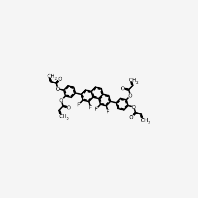 C=CC(=O)Oc1ccc(-c2cc3ccc4cc(-c5ccc(OC(=O)C=C)c(OC(=O)C=C)c5)c(F)c(F)c4c3c(F)c2F)cc1OC(=O)C=C